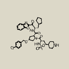 CS(=O)(=O)N[C@H](CCC1CCNCC1)C(=O)N1C[C@H](OCc2ccc(Cl)cc2)C[C@H]1C(=O)N[C@@H](CC1CCCC1)C(=O)c1nc2ccccc2o1